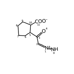 N=[N+]=CC(=O)C1CCCCC1C(=O)[O-]